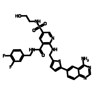 Nc1ncnc2ccc(-c3ccc(CNc4ncc(S(=O)(=O)NCCO)cc4C(=O)NCc4ccc(F)c(F)c4)s3)cc12